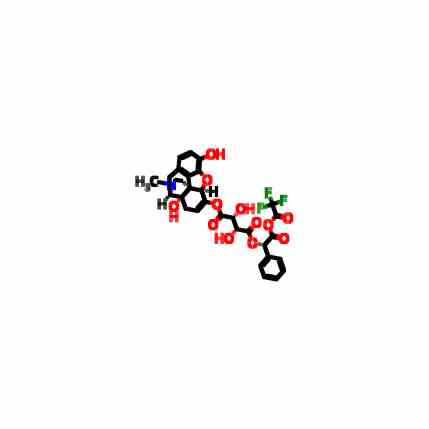 CN1CC[C@]23c4c5ccc(O)c4O[C@H]2C(OC(=O)[C@H](O)[C@@H](O)C(=O)O[C@H](C(=O)OC(=O)C(F)(F)F)c2ccccc2)=CC[C@@]3(O)[C@H]1C5